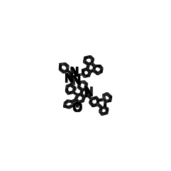 c1ccc(-c2nc(-c3cccc(-c4c5c(cc6c(-c7ccc8c9ccccc9c9ccccc9c8c7)nc7ccccc7c46)oc4ccccc45)c3)nc(-c3ccc4c5ccccc5c5ccccc5c4c3)n2)cc1